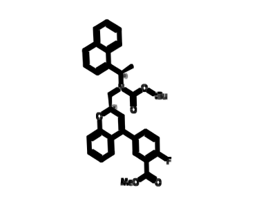 COC(=O)c1cc(C2=C[C@H](CN(C(=O)OC(C)(C)C)[C@H](C)c3cccc4ccccc34)Oc3ccccc32)ccc1F